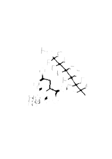 CC(F)(F)C(F)(F)C(F)(F)C(F)(F)C(F)(F)C(O)(F)F.O=C([O-])CC(C(=O)[O-])S(=O)(=O)O.[Na+].[Na+]